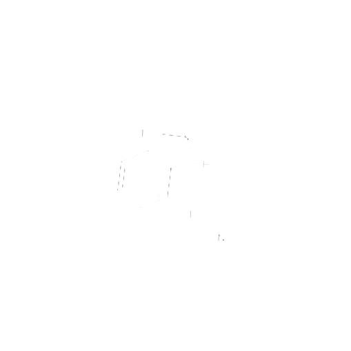 CC(=O)O.Ic1ccccc1.[Na+].[OH-]